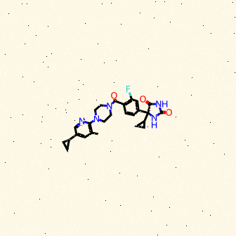 Cc1cc(C2CC2)cnc1N1CCN(C(=O)c2ccc(C3(C4CC4)NC(=O)NC3=O)cc2F)CC1